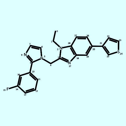 CCn1c(Cn2ccnc2-c2cccc(F)c2)nc2cc(-c3ccsc3)ccc21